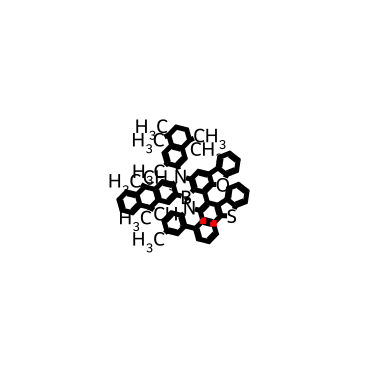 Cc1ccc(N2B3c4cc5c(cc4N(c4cc6c(cc4C)C(C)(C)CCC6(C)C)c4cc6c(oc7ccccc76)c(c43)-c3c2ccc2sc4ccccc4c32)C(C)(C)c2ccccc2C5(C)C)c(-c2ccccc2)c1